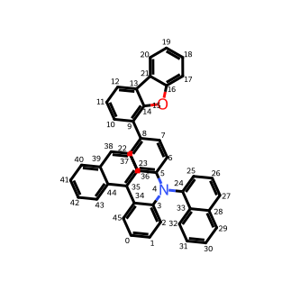 c1ccc(N(c2ccc(-c3cccc4c3oc3ccccc34)cc2)c2cccc3ccccc23)c(-c2cccc3ccccc23)c1